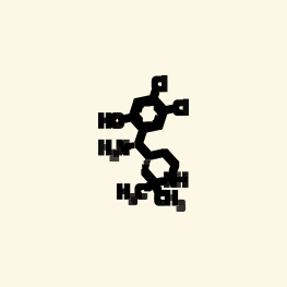 CC1(C)C[C@H]([C@H](N)c2cc(Cl)c(Cl)cc2O)CCN1